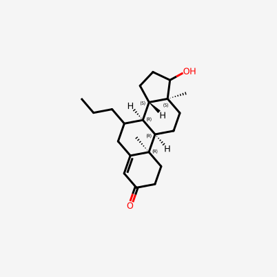 CCCC1CC2=CC(=O)CC[C@]2(C)[C@@H]2CC[C@]3(C)C(O)CC[C@H]3[C@H]12